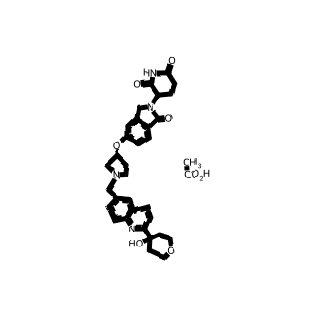 CC(=O)O.O=C1CCC(N2Cc3cc(O[C@H]4CCN(Cc5ccc6nc(C7(O)CCOCC7)ccc6c5)C4)ccc3C2=O)C(=O)N1